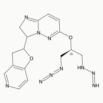 [N-]=[N+]=NC[C@H](CNN=N)OC1=NN2C(=NCC2C2Cc3cnccc3O2)C=C1